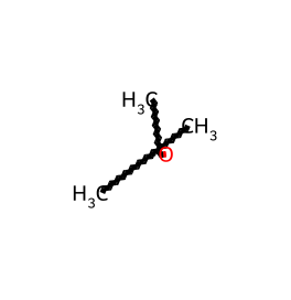 CCCCCCCCCCCCCCCCC([C]=O)C(CCCCCCCC)CCCCCCCCCCC